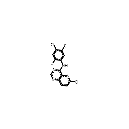 Fc1cc(Cl)c(Cl)cc1Nc1ncnc2ccc(Cl)nc12